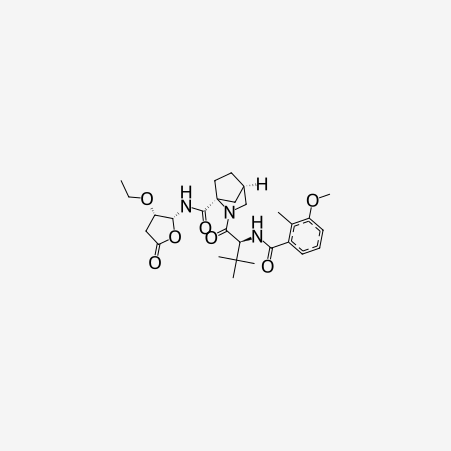 CCO[C@H]1CC(=O)O[C@H]1NC(=O)[C@@]12CC[C@@H](CN1C(=O)[C@@H](NC(=O)c1cccc(OC)c1C)C(C)(C)C)C2